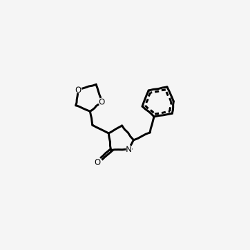 O=C1[N]C(Cc2ccccc2)CC1CC1COCO1